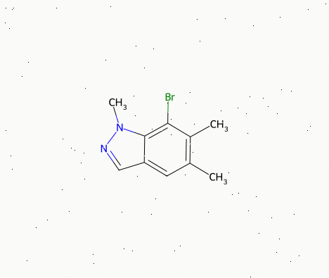 Cc1cc2cnn(C)c2c(Br)c1C